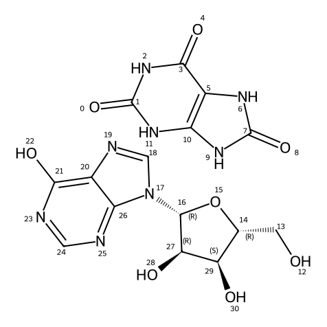 O=c1[nH]c(=O)c2[nH]c(=O)[nH]c2[nH]1.OC[C@H]1O[C@@H](n2cnc3c(O)ncnc32)[C@H](O)[C@@H]1O